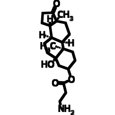 C[C@]12CC[C@@H]3[C@@H](CCC4(O)CC(OC(=O)CCN)CC[C@]34C)[C@@H]1CCC2=O